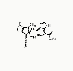 C=C=C=C1c2cc[nH]c2N(C)C12C=Nc1cc(C(=O)OC)c3[nH]ccc3c1O2